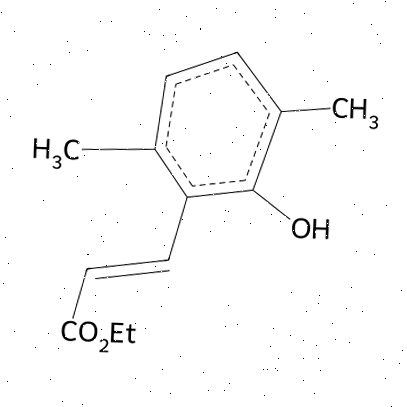 CCOC(=O)C=Cc1c(C)ccc(C)c1O